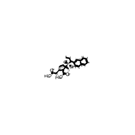 CCC(c1ccc2ccccc2c1)P(=O)(O)C(C)(CC)C(CCC(=O)O)C(=O)O